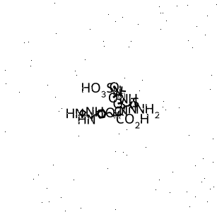 CC1(C)[C@H](NC(=O)C(=NO[C@@H](COc2ccc(C(=N)NC3CNC3)cc2)C(=O)O)c2csc(N)n2)C(=O)N1OS(=O)(=O)O